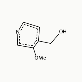 COc1[c]nccc1CO